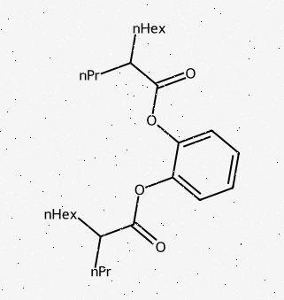 CCCCCCC(CCC)C(=O)Oc1ccccc1OC(=O)C(CCC)CCCCCC